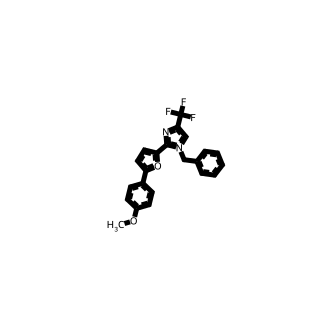 COc1ccc(-c2ccc(-c3nc(C(F)(F)F)cn3Cc3ccccc3)o2)cc1